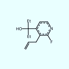 C=CCc1c(C(O)(CC)CC)ccnc1F